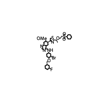 COc1cc2ncnc(Nc3ccc(OCc4cccc(F)c4)c(Br)c3)c2cc1-c1csc(C(C)OCCS(=O)(=O)c2ccccc2)n1